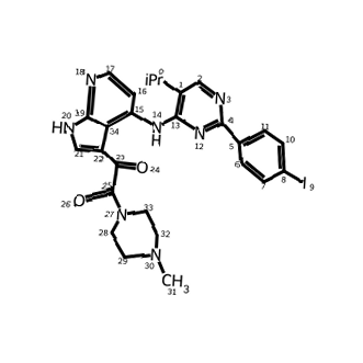 CC(C)c1cnc(-c2ccc(I)cc2)nc1Nc1ccnc2[nH]cc(C(=O)C(=O)N3CCN(C)CC3)c12